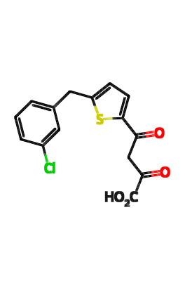 O=C(O)C(=O)CC(=O)c1ccc(Cc2cccc(Cl)c2)s1